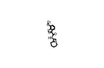 CCOc1cccc2c(C(=O)N[C@@H]3CN4CCCCCC34)nsc12